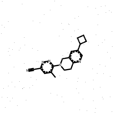 Cc1cc(C#N)nnc1N1CCc2ncc(C3CCC3)cc2C1